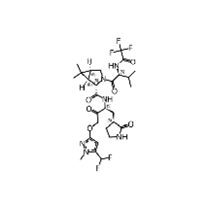 CC(C)[C@H](NC(=O)C(F)(F)F)C(=O)N1C[C@H]2[C@@H]([C@H]1C(=O)N[C@@H](C[C@@H]1CCNC1=O)C(=O)COc1cc(C(F)F)n(C)n1)C2(C)C